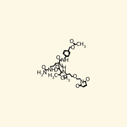 CC(=O)OCc1ccc(NC(=O)[C@H](CCCNC(N)=O)NC(=O)[C@@H](NC(=O)CCOCCN2C(=O)C=CC2=O)C(C)C)cc1